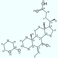 C/C=C1/C(=O)C2C(CC[C@@]3(C)C2CCC3[C@H](C)CCC(=O)O)[C@@]2(C)CC[C@@H](OC3CCCCO3)CC12